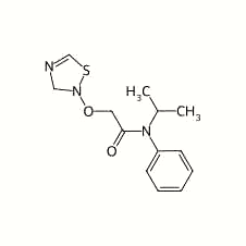 CC(C)N(C(=O)CON1CN=CS1)c1ccccc1